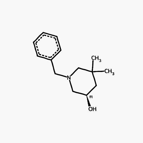 CC1(C)C[C@@H](O)CN(Cc2ccccc2)C1